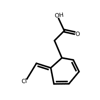 O=C(O)CC1C=CC=C/C1=C\Cl